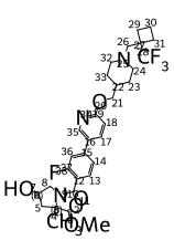 COC(=O)[C@]1(C)C[C@@H](O)CN1C(=O)c1ccc(-c2ccc(OCC3CCN(CC4(C(F)(F)F)CCC4)CC3)nc2)cc1F